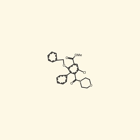 COC(=O)c1cc(Cl)c(C(=O)N2CCOCC2)c(-c2ccccc2)c1OCc1ccccc1